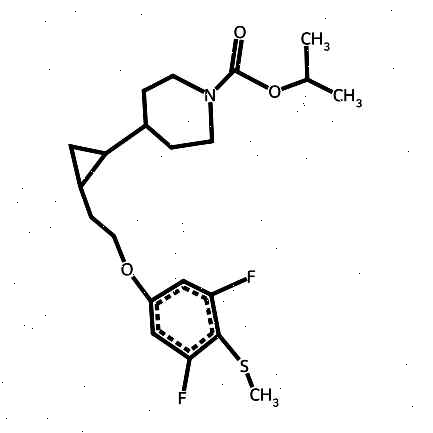 CSc1c(F)cc(OCCC2CC2C2CCN(C(=O)OC(C)C)CC2)cc1F